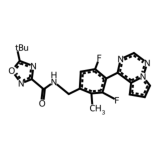 Cc1c(CNC(=O)c2noc(C(C)(C)C)n2)cc(F)c(-c2ncnn3cccc23)c1F